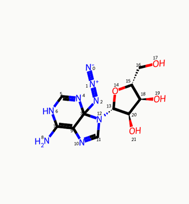 [N-]=[N+]=NC12N=CNC(N)=C1N=CN2[C@@H]1O[C@H](CO)[C@@H](O)[C@H]1O